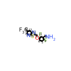 NCc1c(F)ccc(OCc2nc3cc(C(F)(F)F)cnc3s2)c1F